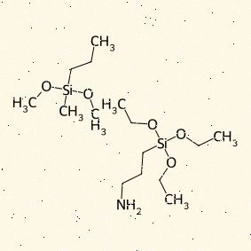 CCC[Si](C)(OC)OC.CCO[Si](CCCN)(OCC)OCC